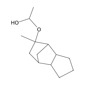 CC(O)OC1(C)CC2CC1C1CCCC21